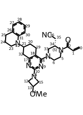 C=CC(=O)N1CCN(c2nc(N3CC(OC)C3)nc3c2CCC(N2CCCc4ccccc42)C3)C[C@@H]1CC#N